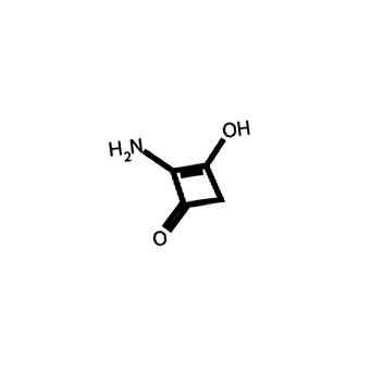 NC1=C(O)CC1=O